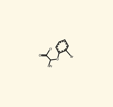 CCCC(Oc1ccccc1Br)C(=O)Cl